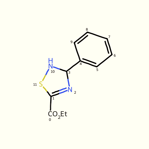 CCOC(=O)C1=NC(c2ccccc2)NS1